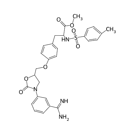 COC(=O)C(Cc1ccc(OCC2CN(c3cccc(C(=N)N)c3)C(=O)O2)cc1)NS(=O)(=O)c1ccc(C)cc1